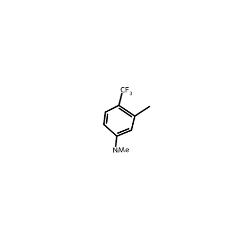 CNc1ccc(C(F)(F)F)c(C)c1